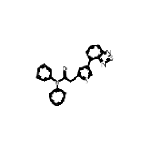 O=C(Cc1cc(-c2cccc3nsnc23)cs1)N(c1ccccc1)c1ccccc1